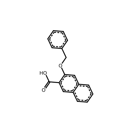 O=C(O)c1cc2ccccc2cc1OCc1ccccc1